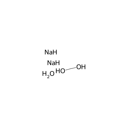 O.OO.[NaH].[NaH]